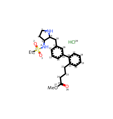 CCS(=O)(=O)NC1CCNC1Cc1cccc(-c2ccccc2CCCC(=O)OC)c1.Cl